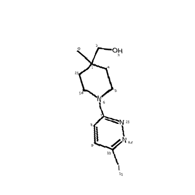 CC1(CO)CCN(c2ccc(I)nn2)CC1